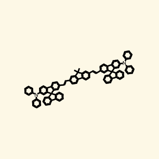 CC1(C)c2cc(/C=C/c3ccc4c(c3)C3(c5ccccc5-c5ccccc53)c3cc(N(c5ccccc5)c5ccccc5)ccc3-4)ccc2-c2ccc(/C=C/c3ccc4c(c3)C3(c5ccccc5-c5ccccc53)c3cc(N(c5ccccc5)c5ccccc5)ccc3-4)cc21